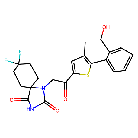 Cc1cc(C(=O)CN2C(=O)NC(=O)C23CCC(F)(F)CC3)sc1-c1ccccc1CO